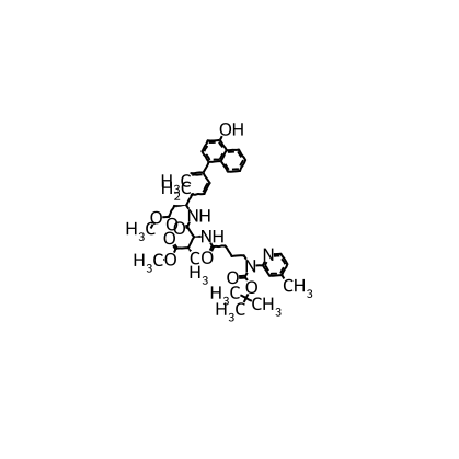 C=C(/C=C\C(=C/C)c1ccc(O)c2ccccc12)[C@H](CC(=O)OC)NC(=O)[C@@H](NC(=O)CCCN(C(=O)OC(C)(C)C)c1cc(C)ccn1)[C@@H](C)C(=O)OC